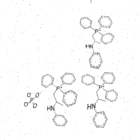 CC(C[P+](c1ccccc1)(c1ccccc1)c1ccccc1)Nc1ccccc1.CC(C[P+](c1ccccc1)(c1ccccc1)c1ccccc1)Nc1ccccc1.CC(C[P+](c1ccccc1)(c1ccccc1)c1ccccc1)Nc1ccccc1.O=P([O-])([O-])[O-]